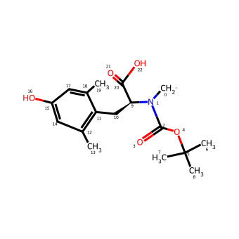 [CH2]N(C(=O)OC(C)(C)C)[C@@H](Cc1c(C)cc(O)cc1C)C(=O)O